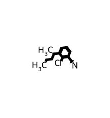 CCCC(C)c1cccc(C#N)c1Cl